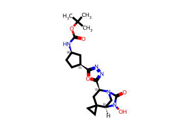 CC(C)(C)OC(=O)N[C@@H]1CC[C@H](c2nnc([C@@H]3CC4(CC4)[C@H]4CN3C(=O)N4O)o2)C1